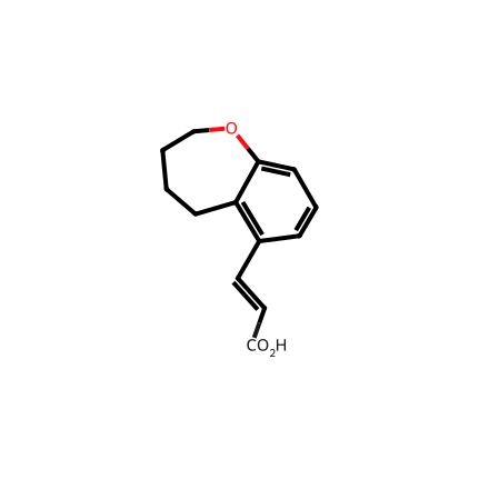 O=C(O)C=Cc1cccc2c1CCCCO2